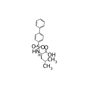 CC(C)C[C@@H](NS(=O)(=O)c1ccc(-c2ccccc2)cc1)C(=O)O